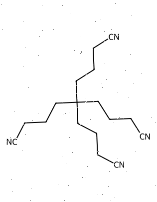 N#CCCCC(CCCC#N)(CCCC#N)CCCC#N